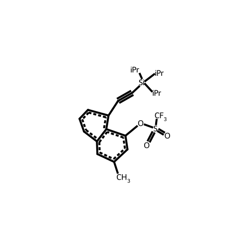 Cc1cc(OS(=O)(=O)C(F)(F)F)c2c(C#C[Si](C(C)C)(C(C)C)C(C)C)cccc2c1